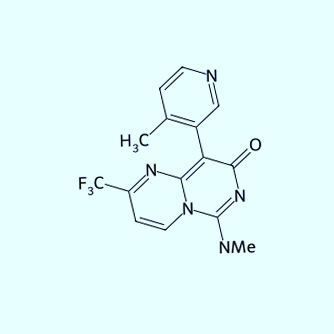 CNc1nc(=O)c(-c2cnccc2C)c2nc(C(F)(F)F)ccn12